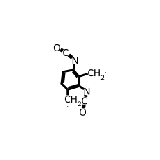 [CH2]c1ccc(N=C=O)c([CH2])c1N=C=O